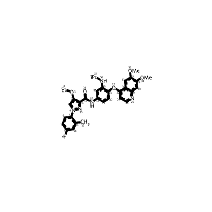 CCOc1cn(-c2ccc(F)cc2C)nc1C(=O)Nc1ccc(Oc2ccnc3cc(OC)c(OC)cc23)c(NC(C)C)c1